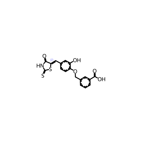 O=C1NC(=S)S/C1=C\c1ccc(OCc2cccc(C(=O)O)c2)c(O)c1